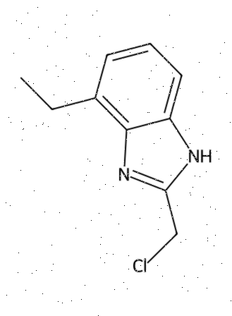 CCc1cccc2[nH]c(CCl)nc12